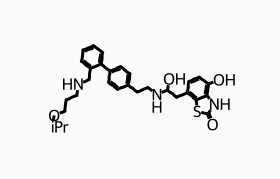 CC(C)OCCCNCc1ccccc1-c1ccc(CCNC(O)Cc2ccc(O)c3[nH]c(=O)sc23)cc1